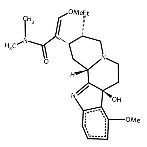 CC[C@@H]1CN2CC[C@@]3(O)C(=Nc4cccc(OC)c43)[C@@H]2C[C@@H]1/C(=C\OC)C(=O)N(C)C